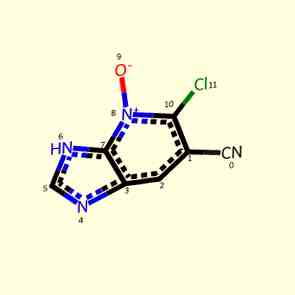 N#Cc1cc2nc[nH]c2[n+]([O-])c1Cl